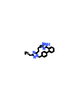 CC(C)CCc1nc(CC(C)C)nn1Cc1ccc(-c2ccccc2-c2nnn[nH]2)cc1